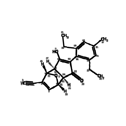 C#CC1=C[C@@H]2O[C@H]1[C@H]1C(O)=C(c3c(CC)cc(C)cc3CC)C(=O)[C@H]12